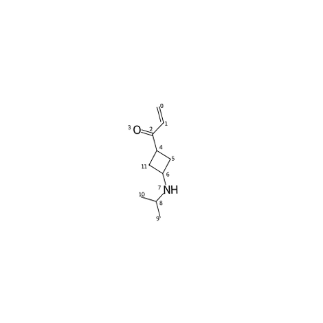 C=CC(=O)C1CC(NC(C)C)C1